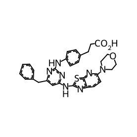 O=C(O)CCc1ccc(Nc2nc(Cc3ccccc3)cc(Nc3nc4ccc(N5CCOCC5)nc4s3)n2)cc1